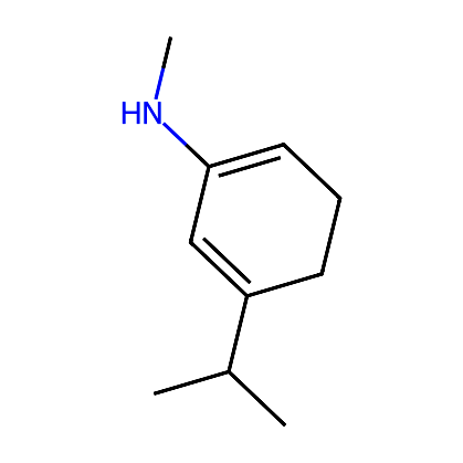 CNC1=CCCC(C(C)C)=C1